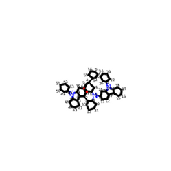 c1ccc(-c2cccc(N(c3ccc4c5ccccc5n(-c5ccccc5)c4c3)c3ccccc3-c3cccc4c3c3ccccc3n4-c3ccccc3)c2)cc1